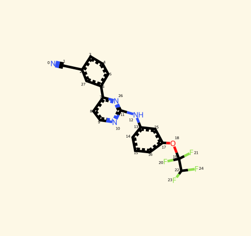 N#Cc1cccc(-c2ccnc(Nc3cccc(OC(F)(F)C(F)F)c3)n2)c1